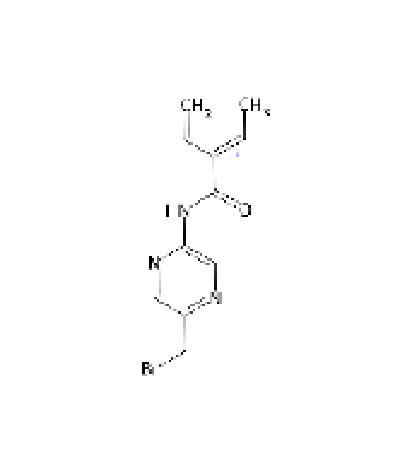 C=C/C(=C\C)C(=O)Nc1cnc(CBr)cn1